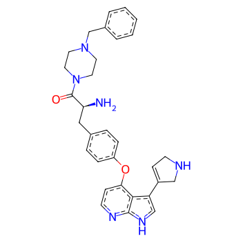 N[C@@H](Cc1ccc(Oc2ccnc3[nH]cc(C4=CCNC4)c23)cc1)C(=O)N1CCN(Cc2ccccc2)CC1